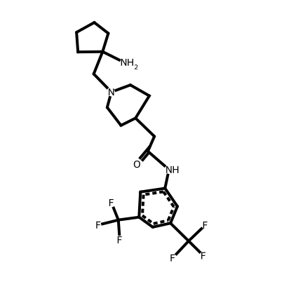 NC1(CN2CCC(CC(=O)Nc3cc(C(F)(F)F)cc(C(F)(F)F)c3)CC2)CCCC1